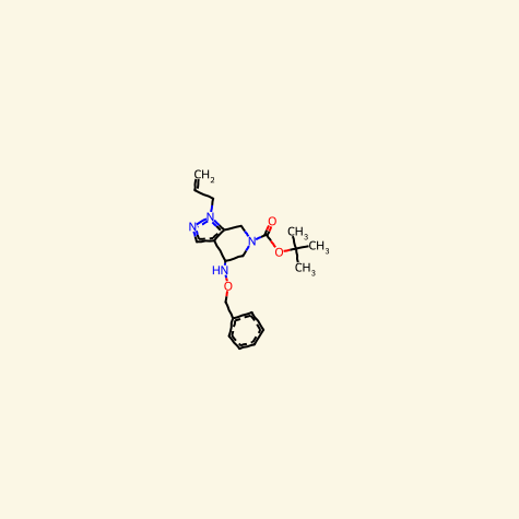 C=CCn1ncc2c1CN(C(=O)OC(C)(C)C)CC2NOCc1ccccc1